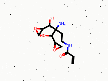 C=CC(=O)NCCC(N)(C(O)C1CO1)C(O)C1CO1